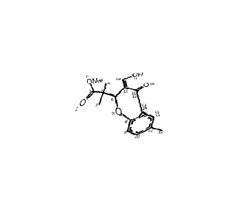 COC(=O)C(C)(C)C1Oc2ccc(C)cc2C(=O)/C1=C\O